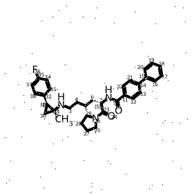 C[C@@]1(NCCCC[C@H](NC(=O)c2ccc(-c3ccccc3)cc2)C(=O)N2CCCC2)C[C@H]1c1ccc(F)cc1